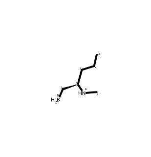 BC[C@@H](CCC)NC